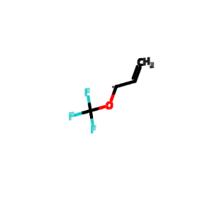 C=C[CH]OC(F)(F)F